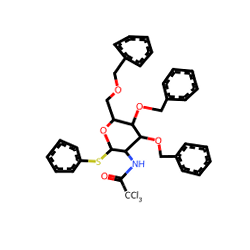 O=C(NC1C(Sc2ccccc2)OC(COCc2ccccc2)C(OCc2ccccc2)C1OCc1ccccc1)C(Cl)(Cl)Cl